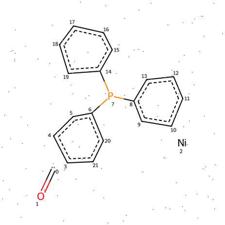 [C]=O.[Ni].c1ccc(P(c2ccccc2)c2ccccc2)cc1